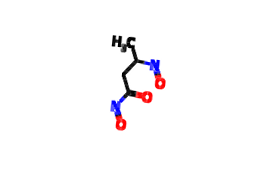 CC(CC(=O)N=O)N=O